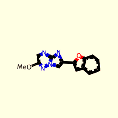 COc1cnc2nc(-c3cc4ccccc4o3)cn2n1